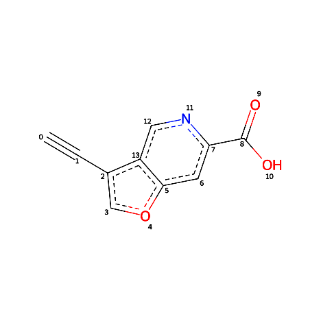 C#Cc1coc2cc(C(=O)O)ncc12